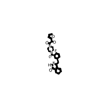 O=C(C(=O)N1CCN(C(=O)c2cc(Cc3n[nH]c(=O)c4ccccc34)ccc2F)CC1)c1ccco1